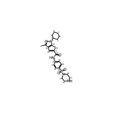 Cc1nn(C2CCCCC2)c2sc(C(=O)Nc3ccc(S(=O)(=O)N4CCNCC4)cc3)cc12